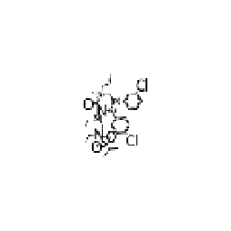 C=CC[C@@]1(C)C[C@H](c2cccc(Cl)c2)[C@@H](c2ccc(Cl)cc2)N([C@@H](CC)CN(CC)S(=O)(=O)C(C)C)C1=O